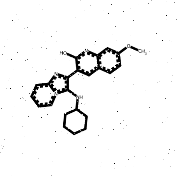 COc1ccc2cc(-c3nc4ccccn4c3NC3CCCCC3)c(O)nc2c1